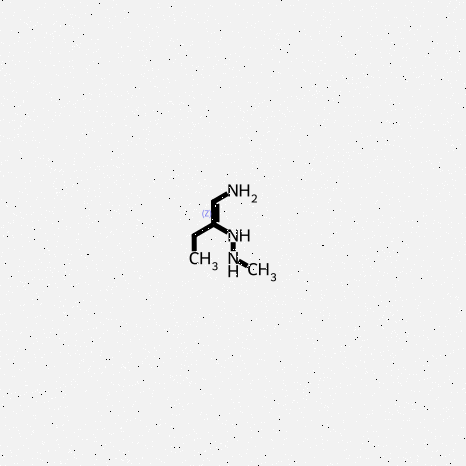 CC/C(=C/N)NNC